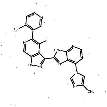 Cc1cn(-c2ccnc3[nH]c(-c4n[nH]c5cnc(-c6cnccc6C)c(F)c45)nc23)cn1